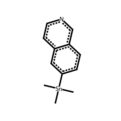 [CH3][Sn]([CH3])([CH3])[c]1ccc2cnccc2c1